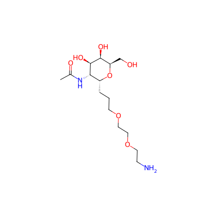 CC(=O)N[C@@H]1[C@@H](O)[C@@H](O)[C@@H](CO)O[C@@H]1CCCOCCOCCN